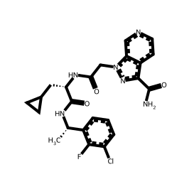 C[C@H](NC(=O)[C@H](CC1CC1)NC(=O)Cn1nc(C(N)=O)c2ccncc21)c1cccc(Cl)c1F